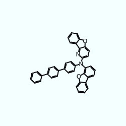 c1ccc(-c2ccc(-c3ccc(N(c4ccc5oc6ccccc6c5n4)c4cccc5c4oc4ccccc45)cc3)cc2)cc1